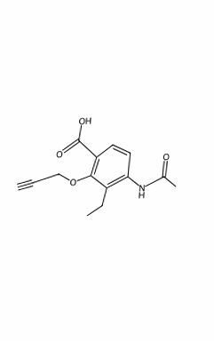 C#CCOc1c(C(=O)O)ccc(NC(C)=O)c1CC